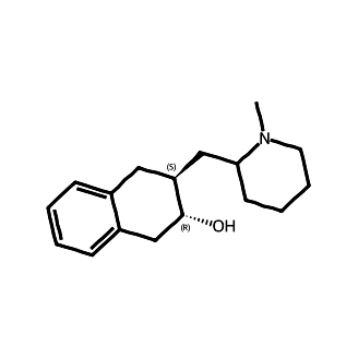 CN1CCCCC1C[C@@H]1Cc2ccccc2C[C@H]1O